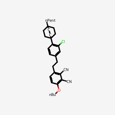 CCCCCC12CCC(c3ccc(CCc4ccc(OCCCC)c(C#N)c4C#N)cc3Cl)(CC1)CC2